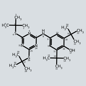 CC(C)(C)Sc1nc(Nc2cc(C(C)(C)C)c(O)c(C(C)(C)C)c2)nc(SC(C)(C)C)n1